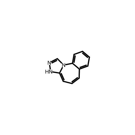 C1=Cc2ccccc2N2C=NNC2=C1